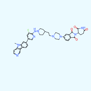 Cn1c2ccncc2c2ccc(-c3cnc(NN4CCC(CCN5CCN(c6ccc7c(c6)C(=O)N(C6CCC(=O)NC6=O)C7=O)CC5)CC4)c(F)c3)cc21